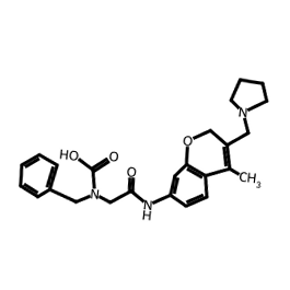 CC1=C(CN2CCCC2)COc2cc(NC(=O)CN(Cc3ccccc3)C(=O)O)ccc21